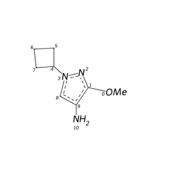 COc1nn(C2CCC2)cc1N